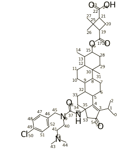 CC(C)C1=C2C3CCC4C(CCC5C(C)C(OC(=O)C6CC(C(=O)O)C6(C)C)CCC54C)C3CCC2(NC(=O)N(CCN(C)C)Cc2ccc(Cl)cc2)CC1=O